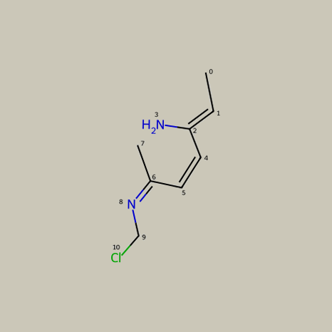 C/C=C(N)/C=C\C(C)=N/CCl